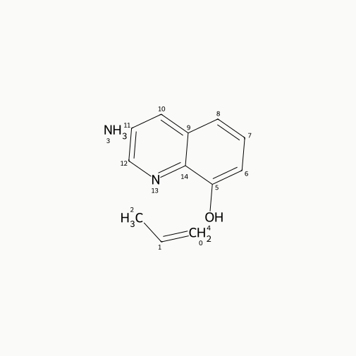 C=CC.N.Oc1cccc2cccnc12